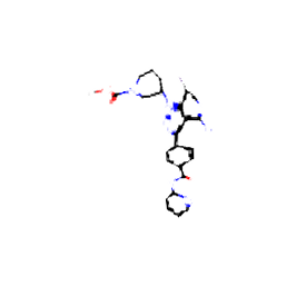 CC(C)(C)OC(=O)N1CCC[C@@H](n2nc(-c3ccc(C(=O)Nc4ccccn4)cc3)c3c(N)ncc(I)c32)C1